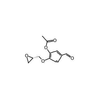 CC(=O)Oc1cc(C=O)ccc1OC[C@@H]1CO1